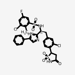 Cc1c(Cl)cc(F)cc1S(=O)(=O)N[C@@H](Cc1ccc(C2CC(=O)NS2(=O)=O)c(Cl)c1)c1ncc(-c2ccccc2)[nH]1